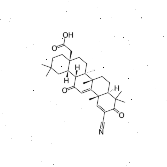 CC1(C)CC[C@]2(CC(=O)O)CC[C@]3(C)[C@H](C(=O)C=C4[C@@]5(C)C=C(C#N)C(=O)C(C)(C)[C@@H]5CC[C@]43C)[C@@H]2C1